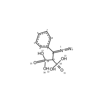 [N-]=[N+]=C(c1ccccc1)C(P(=O)(O)O)P(=O)(O)O